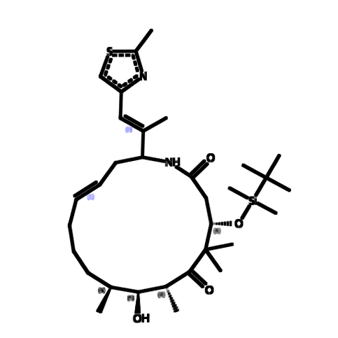 C/C(=C\c1csc(C)n1)C1C/C=C/CCC[C@H](C)[C@H](O)[C@@H](C)C(=O)C(C)(C)[C@@H](O[Si](C)(C)C(C)(C)C)CC(=O)N1